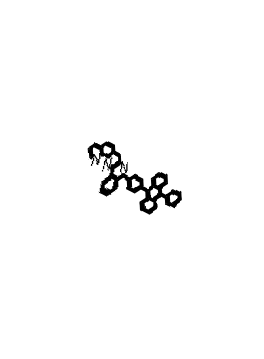 c1ccc(-c2c3ccccc3c(-c3ccc(-c4nc5cc6ccc7cccnc7c6nc5c5ccccc45)cc3)c3ccccc23)cc1